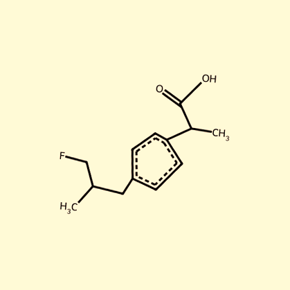 CC(CF)Cc1ccc(C(C)C(=O)O)cc1